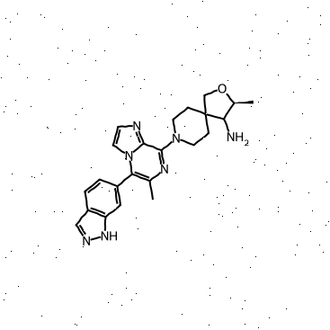 Cc1nc(N2CCC3(CC2)CO[C@@H](C)C3N)c2nccn2c1-c1ccc2cn[nH]c2c1